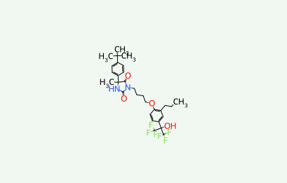 CCCc1cc(C(O)(C(F)(F)F)C(F)(F)F)ccc1OCCCCN1C(=O)NC(C)(c2ccc(C(C)(C)C)cc2)C1=O